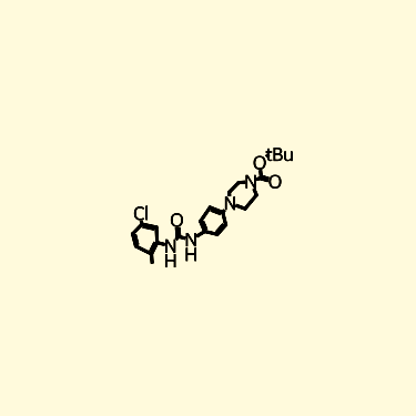 Cc1ccc(Cl)cc1NC(=O)Nc1ccc(N2CCN(C(=O)OC(C)(C)C)CC2)cc1